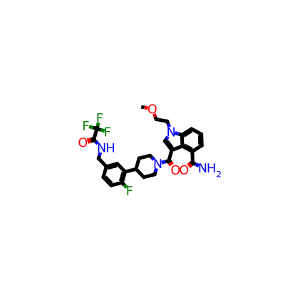 COCCn1cc(C(=O)N2CCC(c3cc(CNC(=O)C(F)(F)F)ccc3F)CC2)c2c(C(N)=O)cccc21